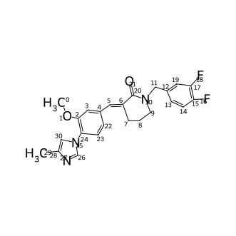 COc1cc(C=C2CCCN(Cc3ccc(F)c(F)c3)C2=O)ccc1-n1cnc(C)c1